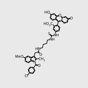 COc1ccc2c(c1)c(CC(=O)NCCCCNC(=S)Nc1ccc(-c3c4ccc(=O)cc-4oc4cc(O)ccc34)c(C(=O)O)c1)c(C)n2C(=O)c1ccc(Cl)cc1